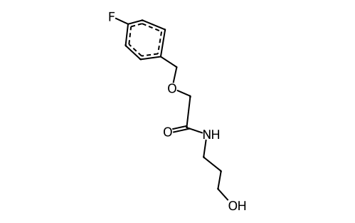 O=C(COCc1ccc(F)cc1)NCCCO